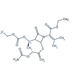 C=C(COC(N)=O)SC1C([C@@H](C)OC(=O)OCC(Cl)(Cl)Cl)C(=O)N1C(C(=O)OCOC(C)=O)=C(C)C